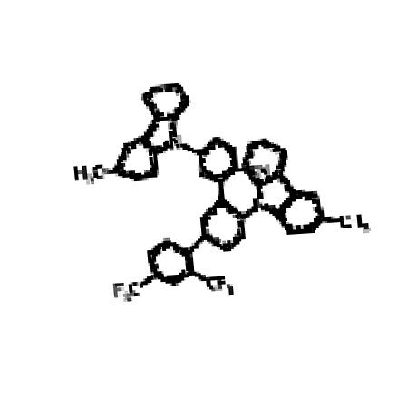 Cc1ccc2c(c1)c1ccccc1n2-c1ccc(C#N)c(-c2cc(-c3ccc(C(F)(F)F)cc3C(F)(F)F)ccc2-n2c3ccccc3c3cc(C)ccc32)c1